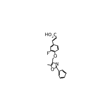 Cc1oc(-c2ccccc2)nc1COc1ccc(/C=C/C(=O)O)cc1F